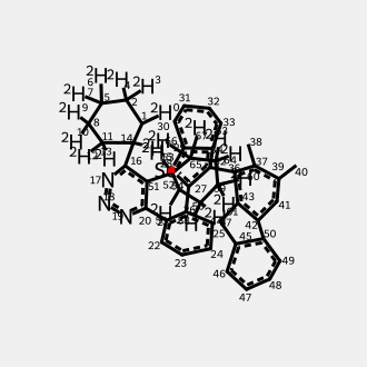 [2H]C1C([2H])([2H])C([2H])([2H])C([2H])([2H])C([2H])([2H])C1([2H])c1nnnc(-c2ccccc2-c2[se]c3ccccc3c2-c2c(C)c(C)cc3c2Cc2ccccc2-3)c1C1([2H])C([2H])C([2H])([2H])C([2H])([2H])C([2H])([2H])C1([2H])[2H]